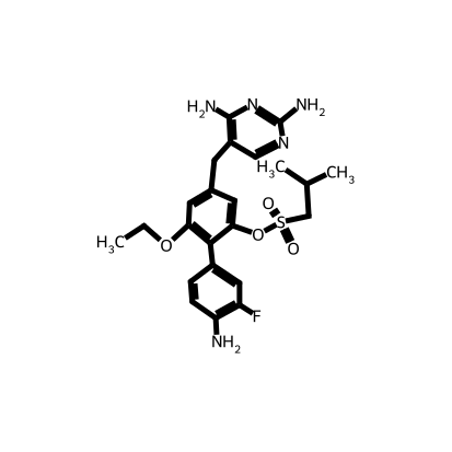 CCOc1cc(Cc2cnc(N)nc2N)cc(OS(=O)(=O)CC(C)C)c1-c1ccc(N)c(F)c1